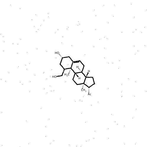 CC(=O)[C@H]1CC[C@H]2[C@@H]3CC=C4C[C@@H](O)CC(CO)[C@]4(C)[C@H]3CC[C@]12C